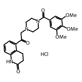 COc1cc(C(=O)N2CCN(CC(=O)c3cccc4c3CCC(=O)N4)CC2)cc(OC)c1OC.Cl